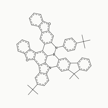 CC(C)(C)c1ccc(N2B3c4cc5c(cc4-n4c6ccc(C(C)(C)C)cc6c6c7oc8ccccc8c7c(c3c64)-c3cc4c(cc32)oc2ccccc24)C(C)(C)c2ccccc2-5)cc1